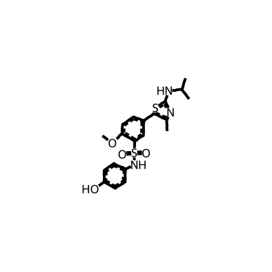 COc1ccc(-c2sc(NC(C)C)nc2C)cc1S(=O)(=O)Nc1ccc(O)cc1